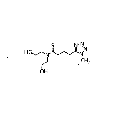 Cn1nnnc1CCCC(=S)N(CCO)CCO